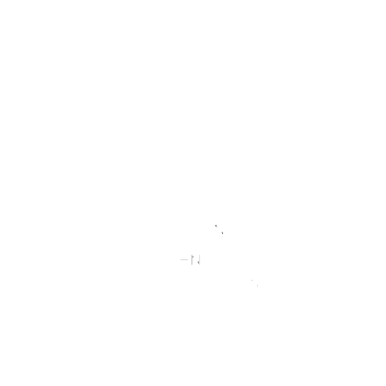 C1CCCC(N2CSCN2)CCC1